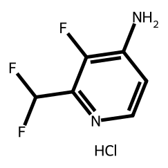 Cl.Nc1ccnc(C(F)F)c1F